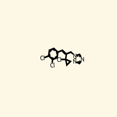 Clc1ccc(C=C(Cn2cncn2)C2(Cl)CC2)cc1Cl